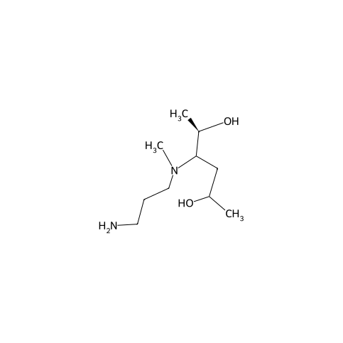 CC(O)CC([C@@H](C)O)N(C)CCCN